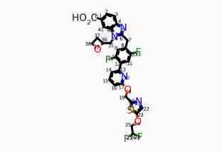 O=C(O)c1ccc2nc(Cc3cc(F)c(-c4cccc(OCc5ncc(OCC(F)F)s5)n4)cc3F)n(CC3CCO3)c2c1